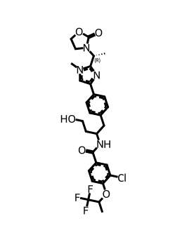 CC(Oc1ccc(C(=O)NC(CCO)Cc2ccc(-c3cn(C)c([C@@H](C)N4CCOC4=O)n3)cc2)cc1Cl)C(F)(F)F